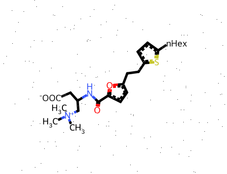 CCCCCCc1ccc(CCc2ccc(C(=O)NC(CC(=O)[O-])C[N+](C)(C)C)o2)s1